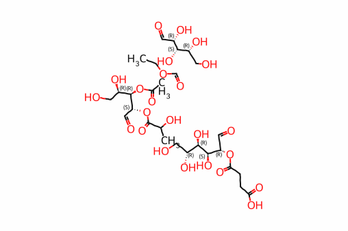 CC(=O)O[C@H]([C@H](O)CO)[C@@H](C=O)OC(=O)C(C)O.CCOC=O.O=C[C@H](O)[C@@H](O)[C@H](O)CO.O=C[C@H](OC(=O)CCC(=O)O)[C@@H](O)[C@H](O)[C@H](O)CO